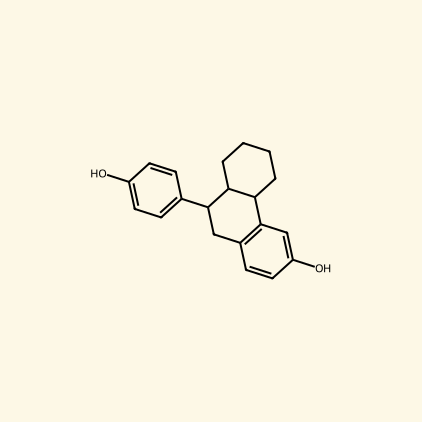 Oc1ccc(C2Cc3ccc(O)cc3C3CCCCC23)cc1